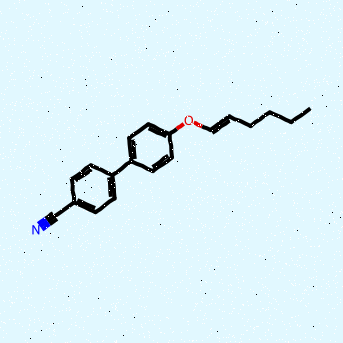 CCCCC=COc1ccc(-c2ccc(C#N)cc2)cc1